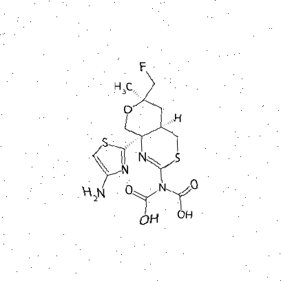 C[C@]1(CF)C[C@H]2CSC(N(C(=O)O)C(=O)O)=N[C@@]2(c2nc(N)cs2)CO1